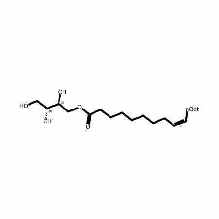 CCCCCCCC/C=C\CCCCCCCC(=O)OC[C@H](O)[C@H](O)CO